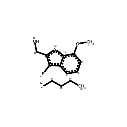 COc1cccc2c(F)c(CO)sc12.[Li][CH2]CCC